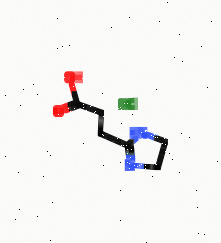 Cl.O=C(O)CCC1=NCCN1